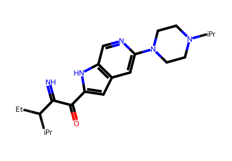 CCC(C(=N)C(=O)c1cc2cc(N3CCN(C(C)C)CC3)ncc2[nH]1)C(C)C